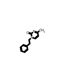 Cc1ccn(CCc2ccccc2)c(=O)n1